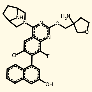 NC1(COc2nc(N3CC4CCC(C3)N4)c3cc(Cl)c(-c4cc(O)cc5ccccc45)c(F)c3n2)CCOC1